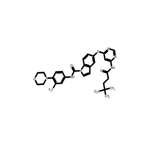 CC(C)(CCC(=O)Nc1cc(Oc2ccc3c(ccn3C(=O)Nc3ccc(N4CCOCC4)c(C(F)(F)F)c3)c2)ncn1)[N+](=O)[O-]